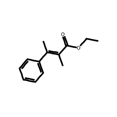 CCOC(=O)/C(C)=C(\C)c1ccccc1